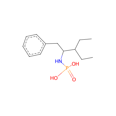 CCC(CC)C(Cc1ccccc1)NP(=O)(O)O